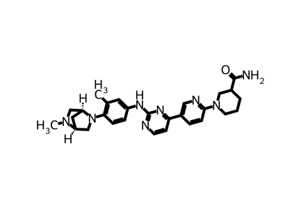 Cc1cc(Nc2nccc(-c3ccc(N4CCCC(C(N)=O)C4)nc3)n2)ccc1N1C[C@@H]2C[C@H]1CN2C